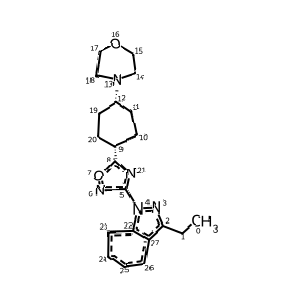 CCc1nn(-c2noc([C@H]3CC[C@@H](N4CCOCC4)CC3)n2)c2ccccc12